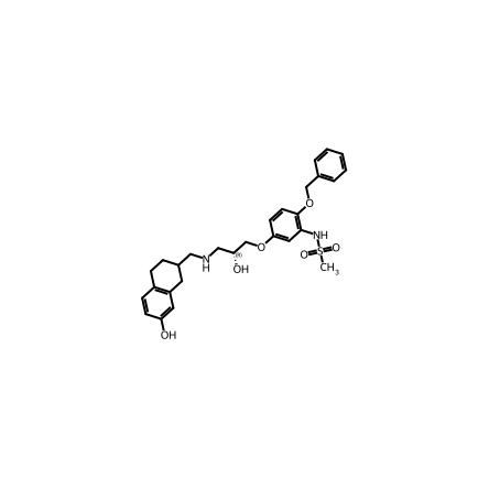 CS(=O)(=O)Nc1cc(OC[C@H](O)CNCC2CCc3ccc(O)cc3C2)ccc1OCc1ccccc1